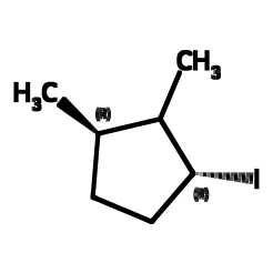 CC1[C@H](C)CC[C@H]1I